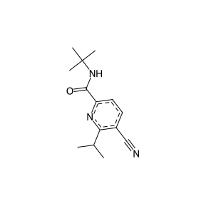 CC(C)c1nc(C(=O)NC(C)(C)C)ccc1C#N